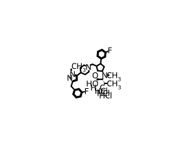 CCn1nc(Cc2cccc(F)c2)cc1C1CCN(CC2CC(N(C)[C@@H](C(=O)O)C(C)C)CC2c2cccc(F)c2)CC1.Cl.Cl.Cl